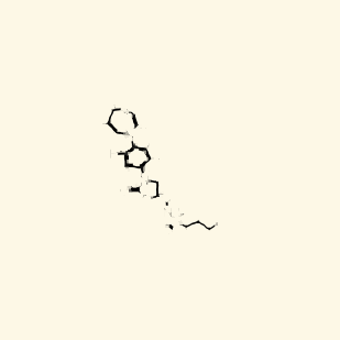 CCCCS(=O)(=O)NC[C@H]1CN(c2ccc(N3C=CCSC=C3)c(F)c2)C(=O)O1